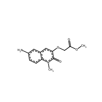 COC(=O)COc1cc2cc(N)ccc2n(C)c1=O